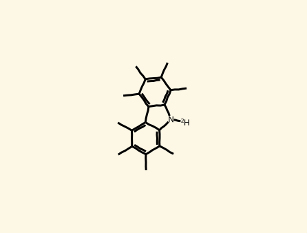 [2H]n1c2c(C)c(C)c(C)c(C)c2c2c(C)c(C)c(C)c(C)c21